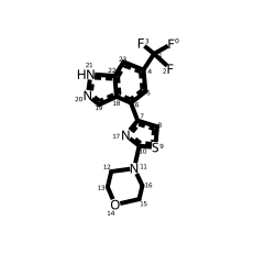 FC(F)(F)c1cc(-c2csc(N3CCOCC3)n2)c2cn[nH]c2c1